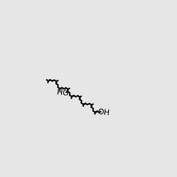 CC(C)=CCCC(C)=CCCC(C)=CCCC(C)C(O)CCC(C)=CCCC(C)=CCCC(C)=CCCC(C)=CCCC(C)=CCO